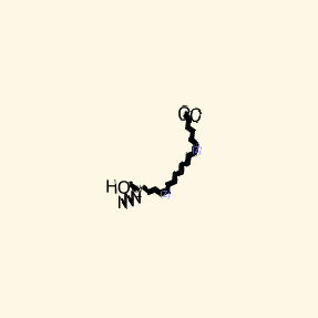 COC(=O)CCC/C=C\CCCCCCC/C=C\CCC[C@@H](CO)N=[N+]=[N-]